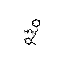 Cc1ccccc1CN(O)Cc1ccccc1